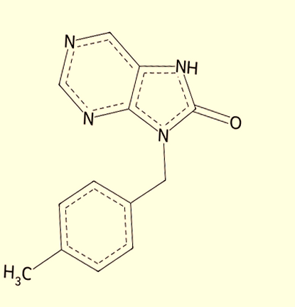 Cc1ccc(Cn2c(=O)[nH]c3cncnc32)cc1